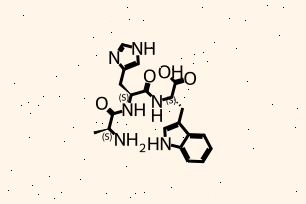 C[C@H](N)C(=O)N[C@@H](Cc1c[nH]cn1)C(=O)N[C@@H](Cc1c[nH]c2ccccc12)C(=O)O